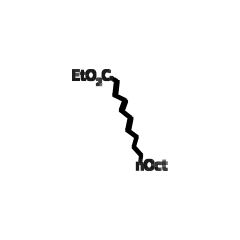 CCCCCCCCCCC/C=C/C=C/C=C/C(=O)OCC